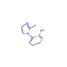 Cc1nccn1-c1ccccc1[N+](=O)[O-]